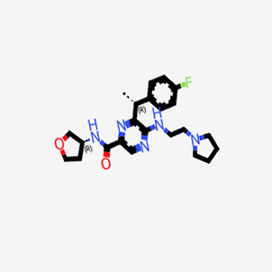 C[C@H](c1ccc(F)cc1)c1nc(C(=O)N[C@@H]2CCOC2)cnc1NCCN1CCCC1